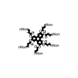 CCCCCCCCCC=CC(=O)Oc1cc2c(cc1OC(=O)/C=C/CCCCCCCCC)c1cc(OC(=O)/C=C/CCCCCCCCC)c(OC(=O)C=CCCCCCCCCC)cc1c1cc(OC(=O)/C=C/CCCCCCCCC)c(OC(=O)/C=C/CCCCCCCCC)cc21